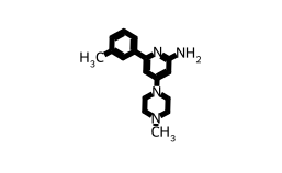 Cc1cccc(-c2cc(N3CCN(C)CC3)cc(N)n2)c1